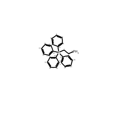 PCCP(c1ccccc1)(c1ccccc1)(c1ccccc1)c1ccccc1